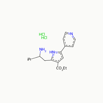 CCOC(=O)c1cc(-c2ccncc2)[nH]c1CC(N)C(C)C.Cl.Cl